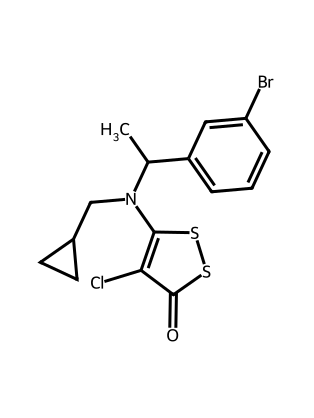 CC(c1cccc(Br)c1)N(CC1CC1)c1ssc(=O)c1Cl